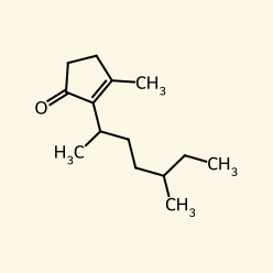 CCC(C)CCC(C)C1=C(C)CCC1=O